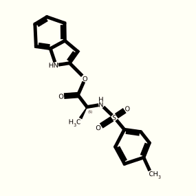 Cc1ccc(S(=O)(=O)N[C@@H](C)C(=O)Oc2cc3ccccc3[nH]2)cc1